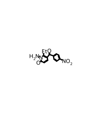 CCc1c(C(=O)c2ccc([N+](=O)[O-])cc2)ccc(=O)n1N